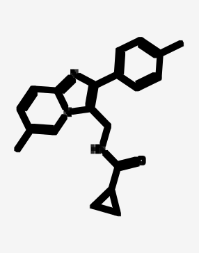 Cc1ccc(-c2nc3ccc(C)cn3c2CNC(=O)C2CC2)cc1